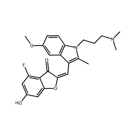 COc1ccc2c(c1)c(C=C1Oc3cc(O)cc(F)c3C1=O)c(C)n2CCCN(C)C